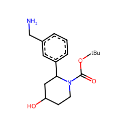 CC(C)(C)OC(=O)N1CCC(O)CC1c1cccc(CN)c1